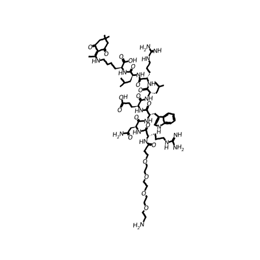 CC(NCCCC[C@H](NC(=O)[C@H](CC(C)C)NC(=O)[C@H](CCCNC(=N)N)NC(=O)[C@H](CC(C)C)NC(=O)[C@H](CCC(=O)O)NC(=O)[C@H](Cc1c[nH]c2ccccc12)NC(=O)[C@H](CC(N)=O)NC(=O)[C@H](CCCNC(=N)N)NC(=O)CCOCCOCCOCCOCCN)C(=O)O)=C1C(=O)CC(C)(C)CC1=O